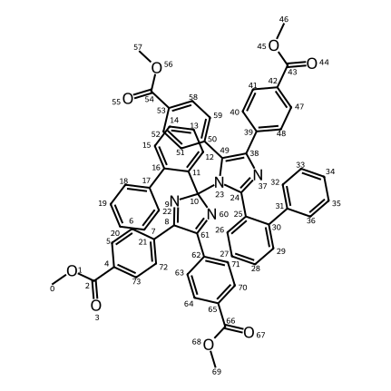 COC(=O)c1ccc(C2=NC(c3ccccc3-c3ccccc3)(n3c(-c4ccccc4-c4ccccc4)nc(-c4ccc(C(=O)OC)cc4)c3-c3ccc(C(=O)OC)cc3)N=C2c2ccc(C(=O)OC)cc2)cc1